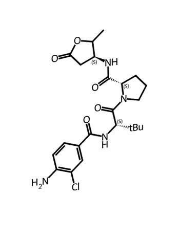 CC1OC(=O)C[C@@H]1NC(=O)[C@@H]1CCCN1C(=O)[C@@H](NC(=O)c1ccc(N)c(Cl)c1)C(C)(C)C